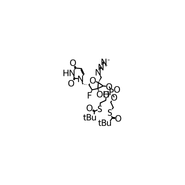 CC(C)(C)C(=O)SCCOP(=O)(OCCSC(=O)C(C)(C)C)OC1[C@@]2(CN=[N+]=[N-])O[C@@H](Cn3ccc(=O)[nH]c3=O)[C@H](F)[C@@]12O